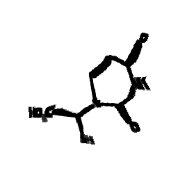 O=C(O)C(S)n1ccc(=O)[nH]c1=O